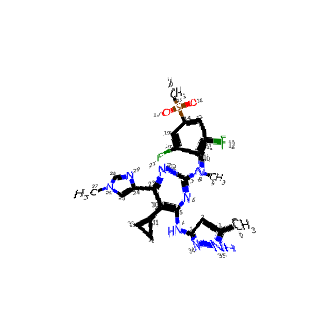 Cc1cc(Nc2nc(N(C)c3c(F)cc(S(C)(=O)=O)cc3F)nc(-c3cn(C)cn3)c2C2CC2)n[nH]1